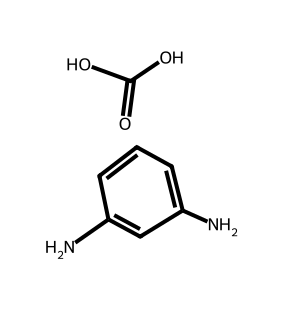 Nc1cccc(N)c1.O=C(O)O